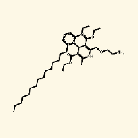 CCCCCCCCCCCCCCCc1cccc(OCC)c1C1C(C(=O)OCC)=C(C)NC(COCCN)=C1C(=O)OCC